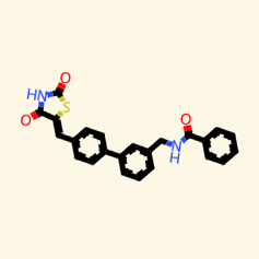 O=C1NC(=O)C(=Cc2ccc(-c3cccc(CNC(=O)c4ccccc4)c3)cc2)S1